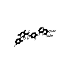 COc1cc2nccc(Oc3ccc(NC(=O)c4c(C)cc(C)n(-c5ccc(F)cc5C)c4=O)cc3F)c2nc1OC